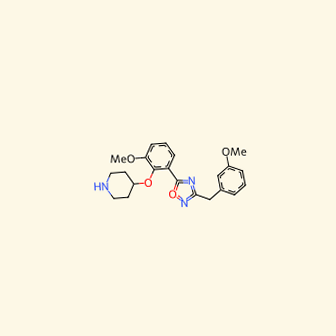 COc1cccc(Cc2noc(-c3cccc(OC)c3OC3CCNCC3)n2)c1